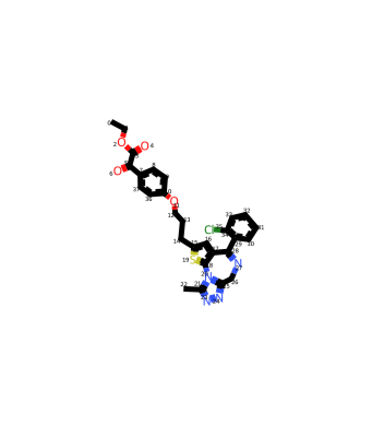 CCOC(=O)C(=O)c1ccc(OCCCc2cc3c(s2)-n2c(C)nnc2CN=C3c2ccccc2Cl)cc1